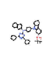 CC1(C)OB(c2ccc3c4ccccc4n(-c4ccc(N(c5ccc6ccccc6c5)c5nc(-c6ccccc6)nc(-c6ccccc6)n5)cc4)c3c2)OC1(C)C